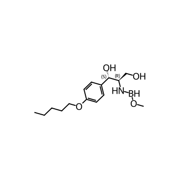 CCCCCOc1ccc([C@H](O)[C@@H](CO)NBOC)cc1